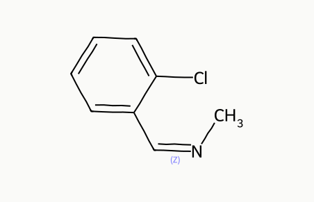 C/N=C\c1ccccc1Cl